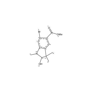 COC(=O)c1cc2c(cc1Br)N(C)C(O)C2(C)C